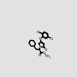 COC(=O)C(CC1CCCCC1)N1CC(Oc2cc(Cl)ccc2Cl)=CC1=O